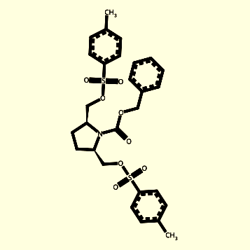 Cc1ccc(S(=O)(=O)OC[C@H]2CC[C@@H](COS(=O)(=O)c3ccc(C)cc3)N2C(=O)OCc2ccccc2)cc1